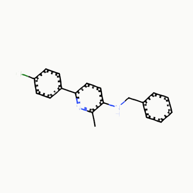 Cc1nc(-c2ccc(Cl)cc2)ccc1NCc1ccccc1